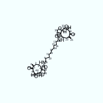 C=C1CC[C@H](C(=O)NCCCCCCCCCCNC(=O)[C@H]2CCC(=C)C(=O)C[C@@H]3O[C@]3(C)[C@H]3OCC[C@@H]23)[C@@H]2CCO[C@@H]2[C@@]2(C)O[C@H]2CC1=O